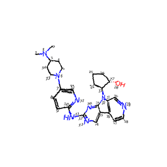 CN(C)C1CCN(c2ccc(Nc3ncc4c5ccncc5n([C@H]5CCC[C@@H]5O)c4n3)nc2)CC1